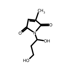 CC1=CC(=O)N(C(O)CCO)C1=O